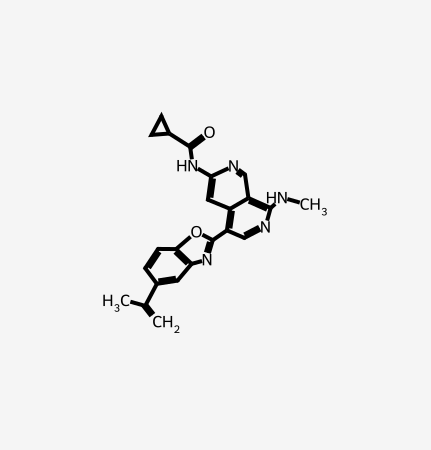 C=C(C)c1ccc2oc(-c3cnc(NC)c4cnc(NC(=O)C5CC5)cc34)nc2c1